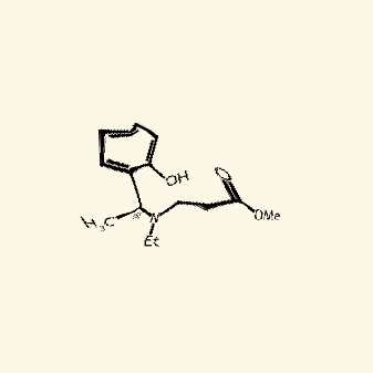 CCN(CCC(=O)OC)[C@@H](C)c1ccccc1O